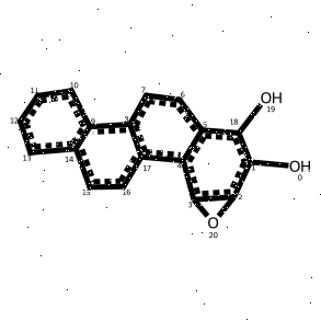 Oc1c2c(c3c(ccc4c5ccccc5ccc43)c1O)O2